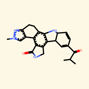 CC(C)C(=O)C1=CC2c3c4c(c5c(c3NC2C=C1)CCc1nn(C)cc1-5)C(=O)NC4